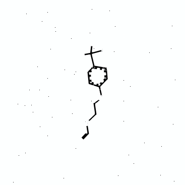 O=CNCCOc1ccc(C(F)(F)F)cc1